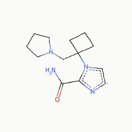 NC(=O)c1n[c]cn1C1(CN2CCCC2)CCC1